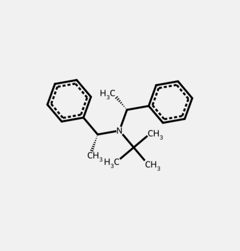 C[C@H](c1ccccc1)N([C@H](C)c1ccccc1)C(C)(C)C